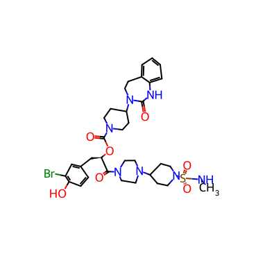 CNS(=O)(=O)N1CCC(N2CCN(C(=O)[C@@H](Cc3ccc(O)c(Br)c3)OC(=O)N3CCC(N4CCc5ccccc5NC4=O)CC3)CC2)CC1